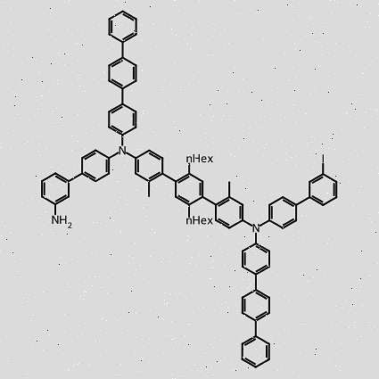 CCCCCCc1cc(-c2ccc(N(c3ccc(-c4ccc(-c5ccccc5)cc4)cc3)c3ccc(-c4cccc(I)c4)cc3)cc2C)c(CCCCCC)cc1-c1ccc(N(c2ccc(-c3ccc(-c4ccccc4)cc3)cc2)c2ccc(-c3cccc(N)c3)cc2)cc1C